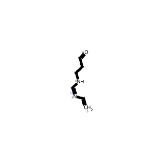 C=C/N=C\NCCC=O